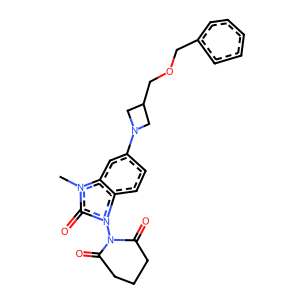 Cn1c(=O)n(N2C(=O)CCCC2=O)c2ccc(N3CC(COCc4ccccc4)C3)cc21